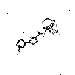 C[C@H]1[C@H](NC(=O)c2ccc(-c3ccnc(Cl)c3)s2)C2CCN1CC2